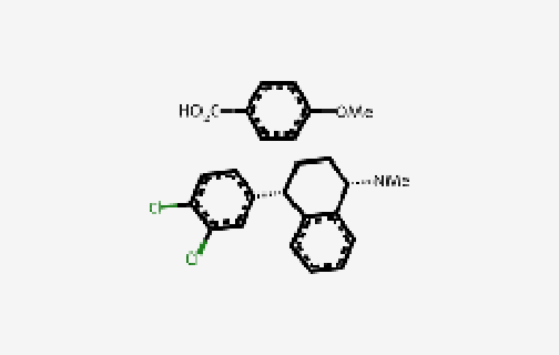 CN[C@H]1CC[C@@H](c2ccc(Cl)c(Cl)c2)c2ccccc21.COc1ccc(C(=O)O)cc1